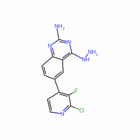 NNc1nc(N)nc2ccc(-c3ccnc(Cl)c3F)cc12